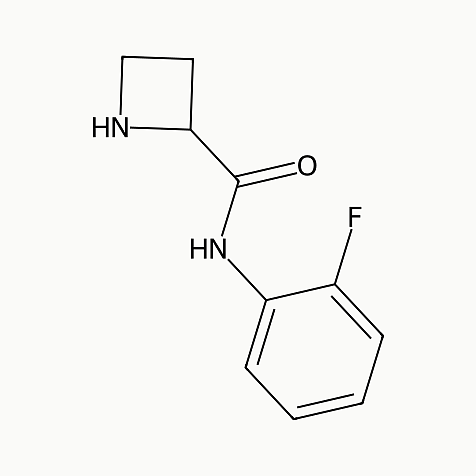 O=C(Nc1ccccc1F)C1CCN1